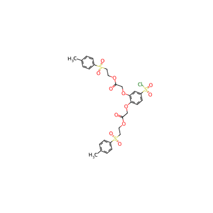 Cc1ccc(S(=O)(=O)CCOC(=O)COc2ccc(S(=O)(=O)Cl)cc2OCC(=O)OCCS(=O)(=O)c2ccc(C)cc2)cc1